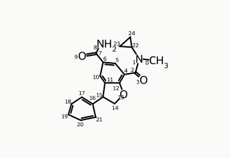 CN(C(=O)c1cc(C(N)=O)cc2c1OCC2c1ccccc1)C1CC1